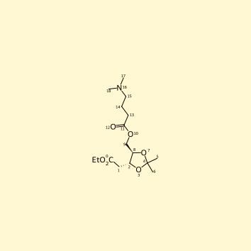 CCOC(=O)C[C@H]1OC(C)(C)O[C@@H]1COC(=O)CCCN(C)C